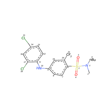 CCCCN(C)S(=O)(=O)c1ccc(Nc2ccc(Cl)cc2Cl)cc1C(F)(F)F